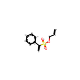 C=CCOS(=O)(=O)C(=C)c1ccccc1